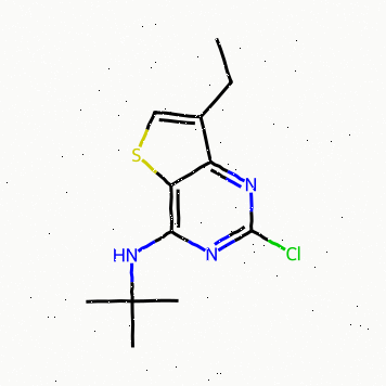 CCc1csc2c(NC(C)(C)C)nc(Cl)nc12